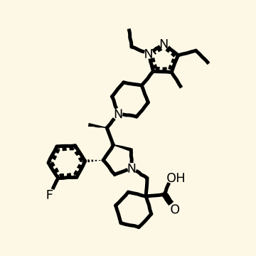 CCc1nn(CC)c(C2CCN([C@H](C)[C@H]3CN(CC4(C(=O)O)CCCCC4)C[C@@H]3c3cccc(F)c3)CC2)c1C